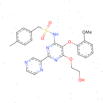 COc1ccccc1Oc1c(NS(=O)(=O)Cc2ccc(C)cc2)nc(-c2cnccn2)nc1OCCO